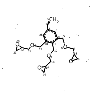 C=Cc1cc(COCC2CO2)c(COCC2CO2)c(COCC2CO2)c1